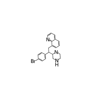 Brc1ccc(C(Cc2cccc3cccnc23)C2CNCC[N]2)cc1